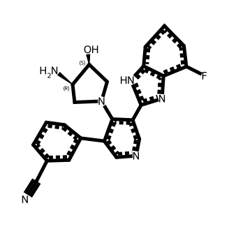 N#Cc1cccc(-c2cncc(-c3nc4c(F)cccc4[nH]3)c2N2C[C@@H](N)[C@@H](O)C2)c1